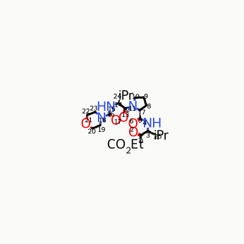 CCOC(=O)C(=O)C(NC(=O)[C@@H]1CCCN1C(=O)[C@@H](NC(=O)N1CCOCC1)C(C)C)C(C)C